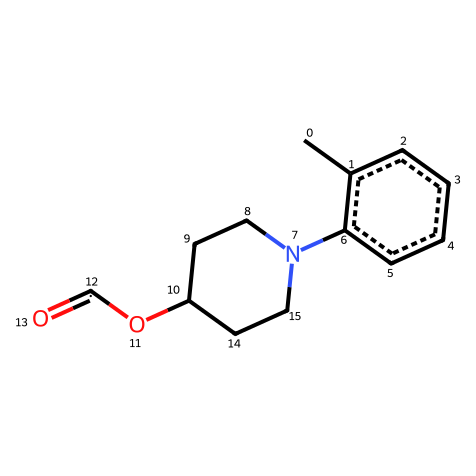 Cc1ccccc1N1CCC(O[C]=O)CC1